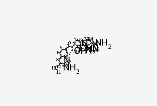 C[C@]1(CCc2ccc3cc(C4CC4)c(N)nc3c2)CC[C@@](O)(n2ccc3c(N)ncnc32)[C@@H]1O